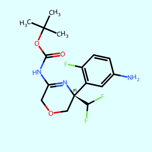 CC(C)(C)OC(=O)NC1=N[C@@](c2cc(N)ccc2F)(C(F)F)COC1